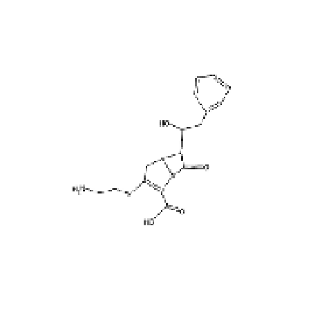 NCCSC1=C(C(=O)O)N2C(=O)C(C(O)Cc3ccccc3)C2C1